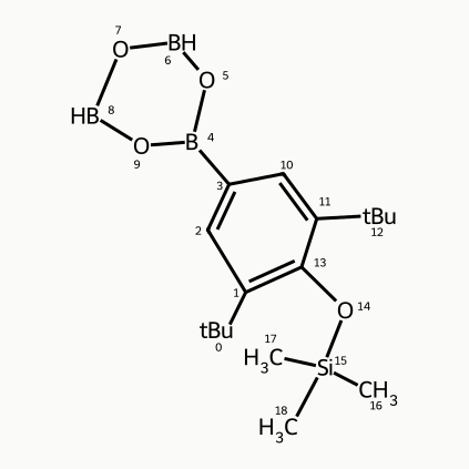 CC(C)(C)c1cc(B2OBOBO2)cc(C(C)(C)C)c1O[Si](C)(C)C